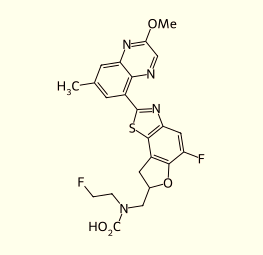 COc1cnc2c(-c3nc4cc(F)c5c(c4s3)CC(CN(CCF)C(=O)O)O5)cc(C)cc2n1